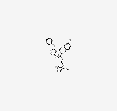 CC(C)(C)[Si](C)(C)OCCC(O)C(Cc1ccc(Cl)cc1)C(=O)N1C(=O)OC[C@@H]1Cc1ccccc1